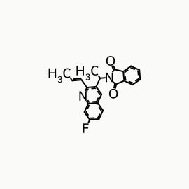 CC=Cc1nc2cc(F)ccc2cc1C(C)N1C(=O)c2ccccc2C1=O